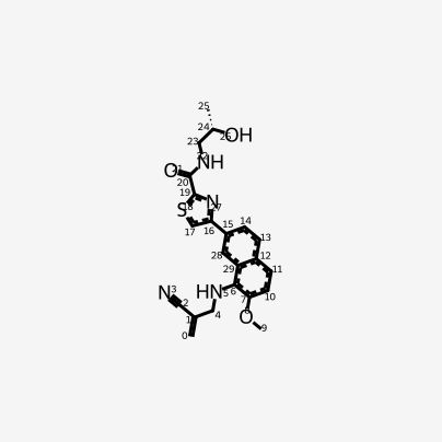 C=C(C#N)CNc1c(OC)ccc2ccc(-c3csc(C(=O)NC[C@H](C)O)n3)cc12